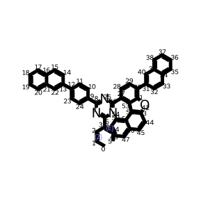 C/C=C\C(=C/C)c1nc(-c2ccc(-c3ccc4ccccc4c3)cc2)nc(-c2ccc(-c3ccc4ccccc4c3)c3oc4ccc5ccccc5c4c23)n1